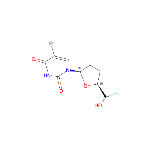 CCc1cn([C@H]2CC[C@@H](C(O)F)O2)c(=O)[nH]c1=O